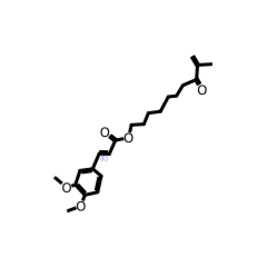 C=C(C)C(=O)CCCCCCCOC(=O)/C=C/c1ccc(OC)c(OC)c1